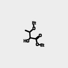 CCOC(=O)C(O)C(C)OCC